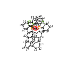 O=P(c1ccc2c(c1)C1(c3ccccc3-2)c2ccccc2-c2cc3c(cc21)P(=O)(c1ccccc1F)c1ccccc1-3)(c1ccccc1F)c1ccccc1F